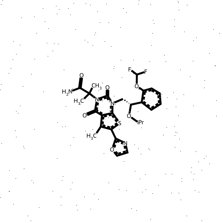 Cc1c(-c2ncco2)sc2c1c(=O)n(C(C)(C)C(N)=O)c(=O)n2C[C@@H](OC(C)C)c1ccccc1OC(F)F